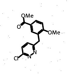 COC(=O)c1ccc(OC)c(Cc2ccc(Cl)nn2)c1